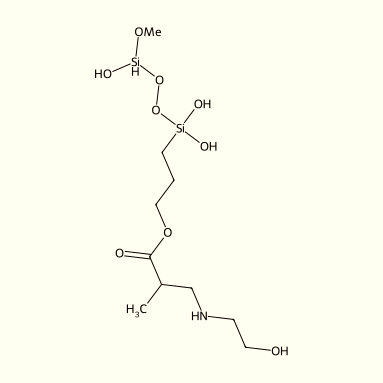 CO[SiH](O)OO[Si](O)(O)CCCOC(=O)C(C)CNCCO